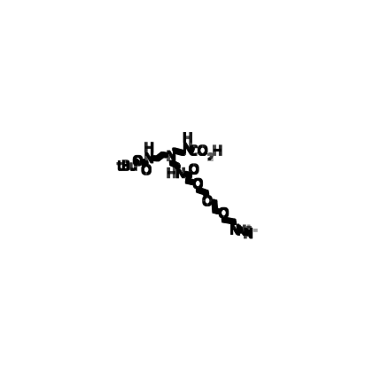 CC(C)(C)OC(=O)NCCN(CCNC(=O)O)CCNC(=O)COCCOCCOCCN=[N+]=[N-]